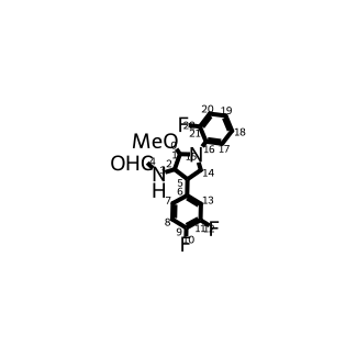 COC1C(NC=O)C(c2ccc(F)c(F)c2)CN1c1ccccc1F